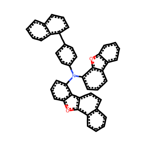 c1ccc2c(-c3ccc(N(c4cccc5c4oc4ccccc45)c4cccc5oc6c7ccccc7ccc6c45)cc3)cccc2c1